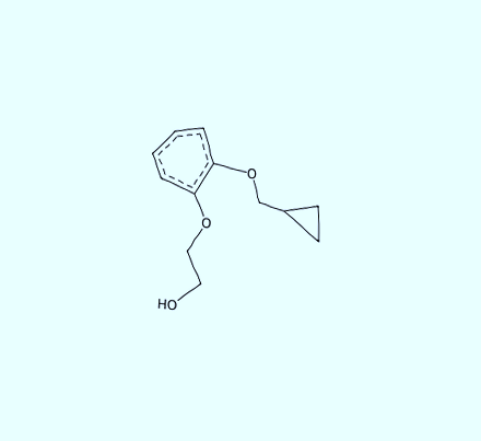 OCCOc1ccccc1OCC1CC1